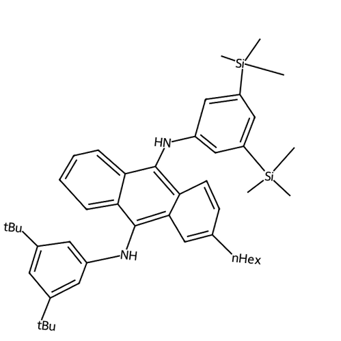 CCCCCCc1ccc2c(Nc3cc([Si](C)(C)C)cc([Si](C)(C)C)c3)c3ccccc3c(Nc3cc(C(C)(C)C)cc(C(C)(C)C)c3)c2c1